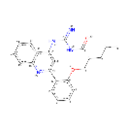 CCCCCOc1ccccc1-c1cc(NC(=N)NC=O)c2ccccc2n1